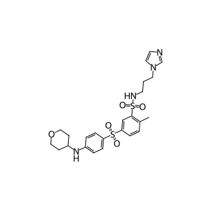 Cc1ccc(S(=O)(=O)c2ccc(NC3CCOCC3)cc2)cc1S(=O)(=O)NCCCn1ccnc1